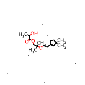 CC(O)C(=O)OCC(C)(C)OCCC1=CC(C)(C)CC1